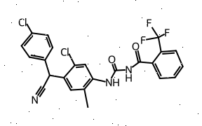 Cc1cc(C(C#N)c2ccc(Cl)cc2)c(Cl)cc1NC(=O)NC(=O)c1ccccc1C(F)(F)F